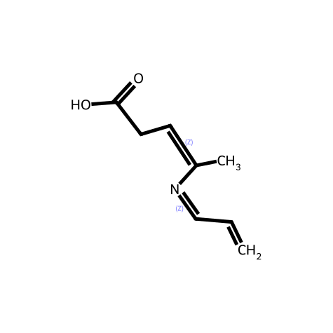 C=C/C=N\C(C)=C/CC(=O)O